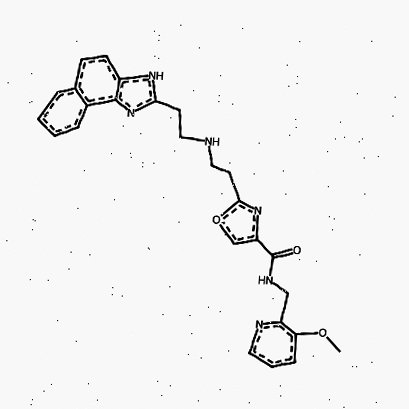 COc1cccnc1CNC(=O)c1coc(CCNCCc2nc3c(ccc4ccccc43)[nH]2)n1